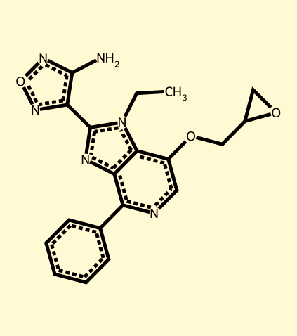 CCn1c(-c2nonc2N)nc2c(-c3ccccc3)ncc(OCC3CO3)c21